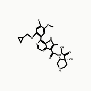 COc1cc(-c2ncnc3c(C(=O)N[C@H]4CNCC[C@]4(O)C(=O)CO)c(C)[nH]c23)c(OCC2CC2)cc1F